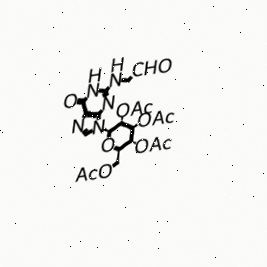 CC(=O)OC[C@H]1O[C@@H](n2cnc3c(=O)[nH]c(NCC=O)nc32)[C@H](OC(C)=O)[C@@H](OC(C)=O)[C@@H]1OC(C)=O